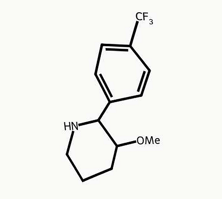 COC1CCCNC1c1ccc(C(F)(F)F)cc1